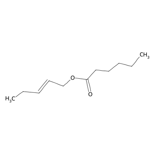 CCC=CCOC(=O)CCCCC